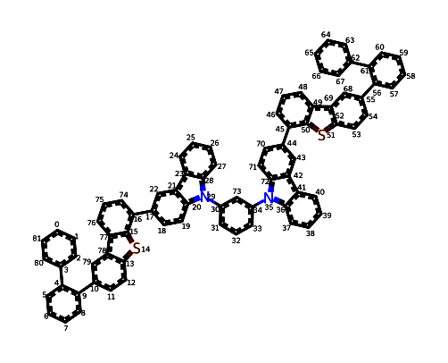 c1ccc(-c2ccccc2-c2ccc3sc4c(-c5ccc6c(c5)c5ccccc5n6-c5cccc(-n6c7ccccc7c7cc(-c8cccc9c8sc8ccc(-c%10ccccc%10-c%10ccccc%10)cc89)ccc76)c5)cccc4c3c2)cc1